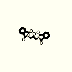 O=C(CN1C(=O)c2ccccc2C1=O)CN1C(=O)c2ccccc2C1=O